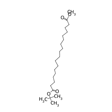 COC(=O)CCCCCCCCCCCCCCCCC(=O)OC(C)(C)C